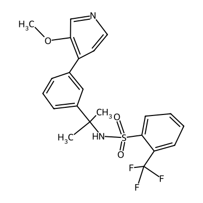 COc1cnccc1-c1cccc(C(C)(C)NS(=O)(=O)c2ccccc2C(F)(F)F)c1